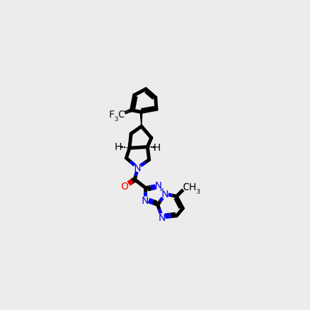 Cc1ccnc2nc(C(=O)N3C[C@H]4C[C@@H](c5ccccc5C(F)(F)F)C[C@H]4C3)nn12